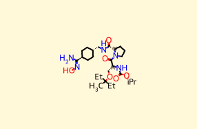 CCC(C)(CC)OC[C@@H](NC(=O)OC(C)C)C(=O)N1CCC[C@H]1C(=O)NC[C@H]1CC[C@H](C(N)=NO)CC1